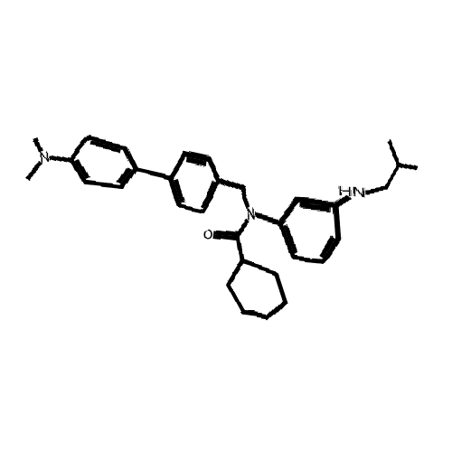 CC(C)CNc1cccc(N(Cc2ccc(-c3ccc(N(C)C)cc3)cc2)C(=O)C2CCCCC2)c1